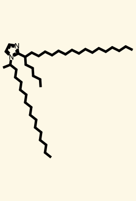 CCCCCCCCCCCCCCCCC(CCCCC)c1nccn1C(C)CCCCCCCCCCCCCCC